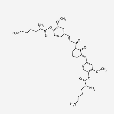 COc1cc(C=CC(=O)C2CCCC(=Cc3ccc(OC(=O)C(N)CCCCN)c(OC)c3)C2=O)ccc1OC(=O)C(N)CCCCN